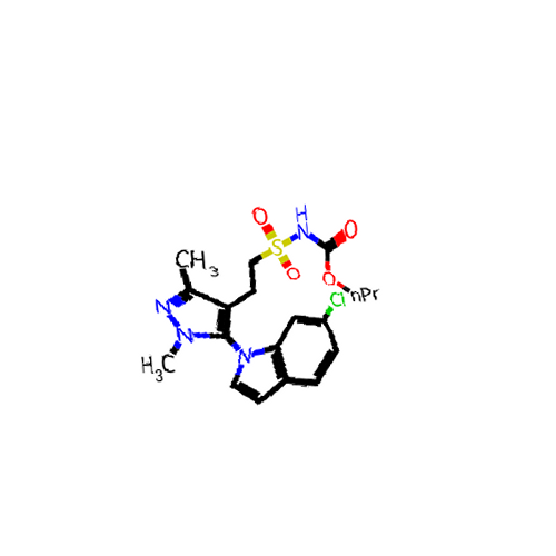 CCCOC(=O)NS(=O)(=O)CCc1c(C)nn(C)c1-n1ccc2ccc(Cl)cc21